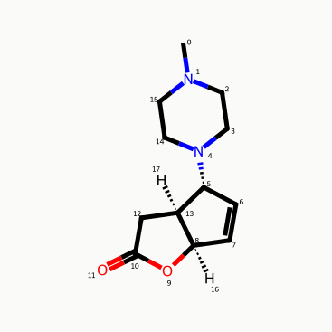 CN1CCN([C@@H]2C=C[C@H]3OC(=O)C[C@@H]23)CC1